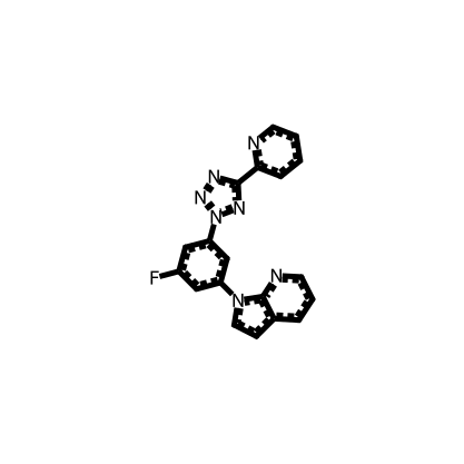 Fc1cc(-n2nnc(-c3ccccn3)n2)cc(-n2ccc3cccnc32)c1